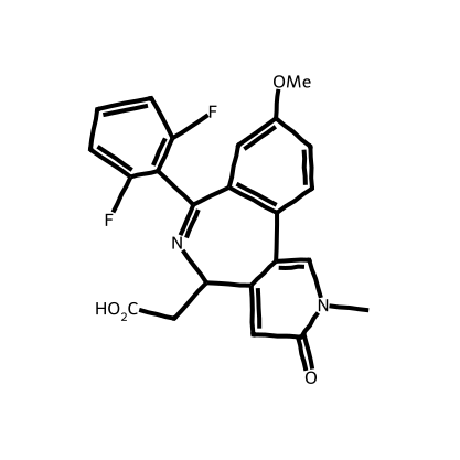 COc1ccc2c(c1)C(c1c(F)cccc1F)=NC(CC(=O)O)c1cc(=O)n(C)cc1-2